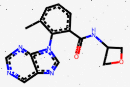 Cc1cccc(C(=O)NC2COC2)c1-n1cnc2cncnc21